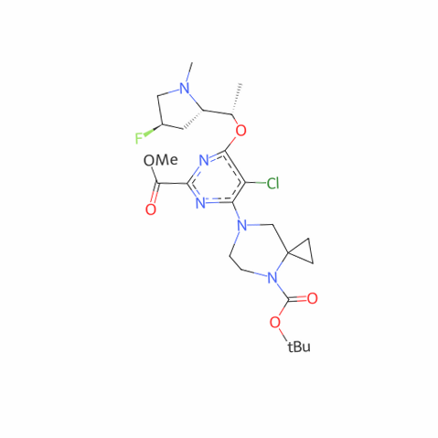 COC(=O)c1nc(O[C@@H](C)[C@@H]2C[C@@H](F)CN2C)c(Cl)c(N2CCN(C(=O)OC(C)(C)C)C3(CC3)C2)n1